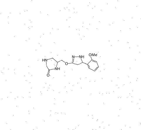 COc1ccccc1C1CC(OCC2CNCC(=O)N2)=NN1